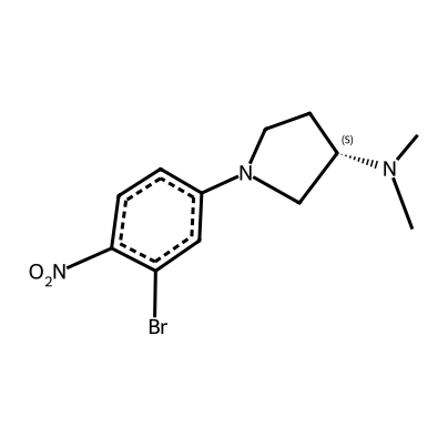 CN(C)[C@H]1CCN(c2ccc([N+](=O)[O-])c(Br)c2)C1